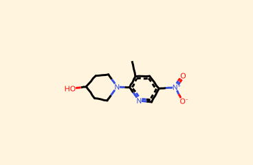 Cc1cc([N+](=O)[O-])cnc1N1CCC(O)CC1